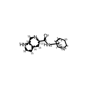 O=C(NC1CC2CCN(CC2)C1)c1cc2cc[nH]c2cn1